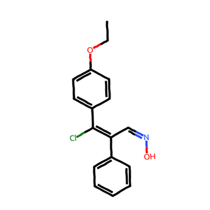 CCOc1ccc(/C(Cl)=C(\C=N/O)c2ccccc2)cc1